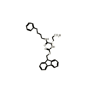 O=C(O)CC[C@H](NC(=O)OCC1c2ccccc2-c2ccccc21)C(=O)NCCCCc1ccccc1